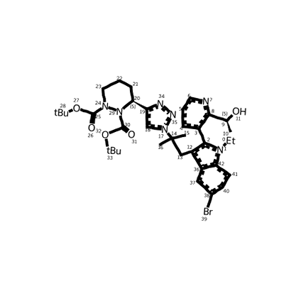 CCn1c(-c2cccnc2[C@H](C)O)c(CC(C)(C)n2cc([C@@H]3CCCN(C(=O)OC(C)(C)C)N3C(=O)OC(C)(C)C)nn2)c2cc(Br)ccc21